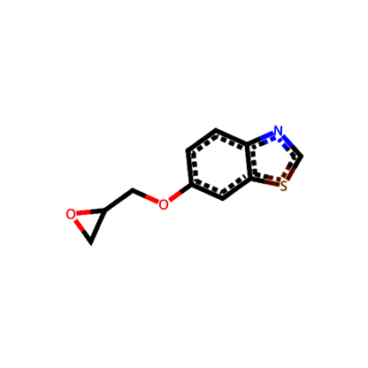 c1nc2ccc(OCC3CO3)cc2s1